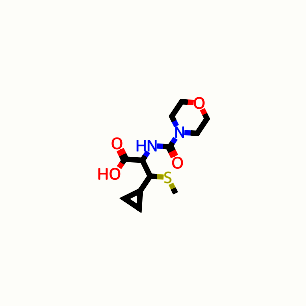 CSC(C1CC1)C(NC(=O)N1CCOCC1)C(=O)O